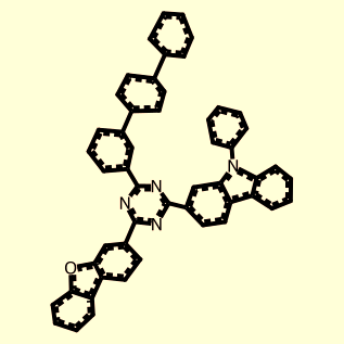 c1ccc(-c2ccc(-c3cccc(-c4nc(-c5ccc6c(c5)oc5ccccc56)nc(-c5ccc6c7ccccc7n(-c7ccccc7)c6c5)n4)c3)cc2)cc1